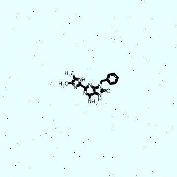 Cc1nc(-c2nc(N)c3[nH]c(=O)n(Cc4ccccc4)c3n2)[nH]c1C